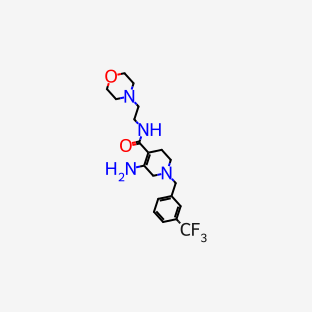 NC1=C(C(=O)NCCN2CCOCC2)CCN(Cc2cccc(C(F)(F)F)c2)C1